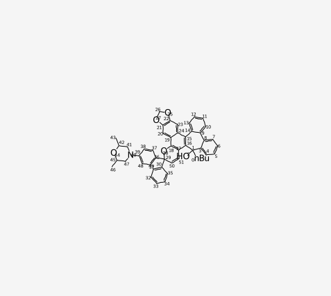 CCCCC1(O)c2ccccc2-c2ccccc2-c2c1c1c(c3cc4c(cc23)OCO4)OC(c2ccccc2)(c2ccc(N3CC(C)OC(C)C3)cc2)C=C1